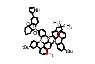 Cc1cc2c3c(c1)N(c1ccc(C(C)(C)C)cc1-c1ccccc1)c1cc4c(cc1B3c1ccc(N3c5ccc(-c6ccc[nH]6)cc5C5(C)CCCCC35C)cc1N2c1ccc(C(C)(C)C)cc1-c1ccccc1)CC(C)(C)C4